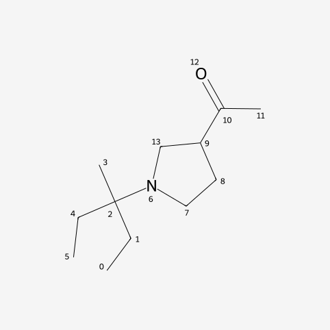 CCC(C)(CC)N1CCC(C(C)=O)C1